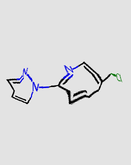 Clc1ccc(-n2cccn2)nc1